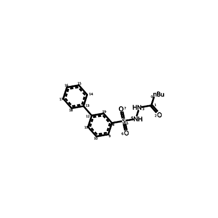 CCCCC(=O)NNS(=O)(=O)c1cccc(-c2ccccc2)c1